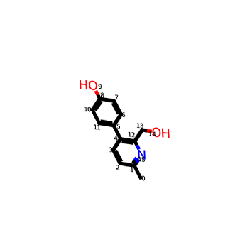 Cc1ccc(-c2ccc(O)cc2)c(CO)n1